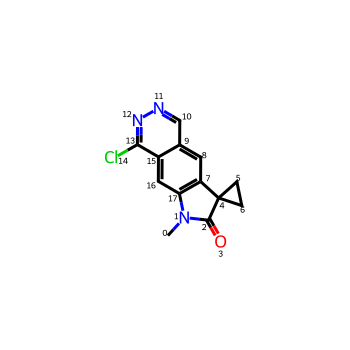 CN1C(=O)C2(CC2)c2cc3cnnc(Cl)c3cc21